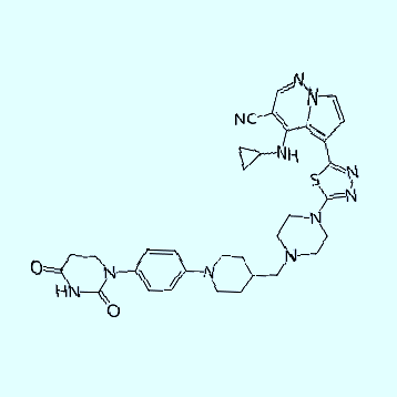 N#Cc1cnn2ccc(-c3nnc(N4CCN(CC5CCN(c6ccc(N7CCC(=O)NC7=O)cc6)CC5)CC4)s3)c2c1NC1CC1